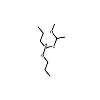 CCCO[SiH](CCC)OC(C)OC